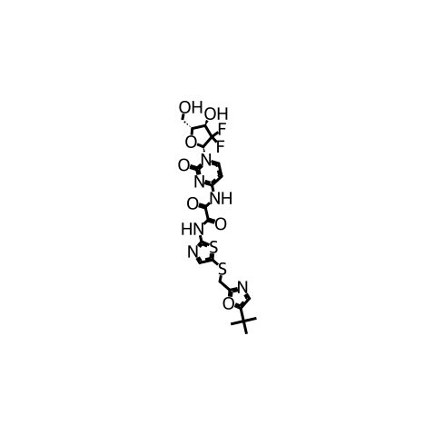 CC(C)(C)c1cnc(CSc2cnc(NC(=O)C(=O)Nc3ccn([C@@H]4O[C@H](CO)[C@@H](O)C4(F)F)c(=O)n3)s2)o1